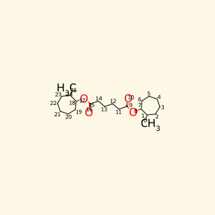 CC1CCCCCC1OC(=O)CCCCC(=O)OC1CCCCCC1C